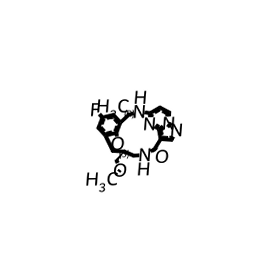 COC[C@]12CNC(=O)c3cnn4ccc(nc34)N[C@H](C)c3cc(F)cc(c3O1)C2